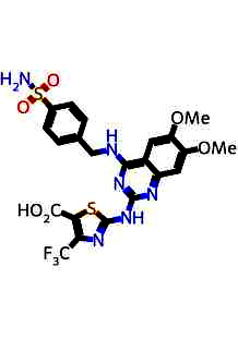 COc1cc2nc(Nc3nc(C(F)(F)F)c(C(=O)O)s3)nc(NCc3ccc(S(N)(=O)=O)cc3)c2cc1OC